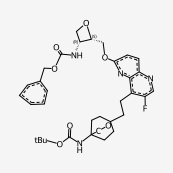 CC(C)(C)OC(=O)NC12CCC(CCc3c(F)cnc4ccc(OC[C@H]5OC[C@H]5NC(=O)OCc5ccccc5)nc34)(CC1)OC2